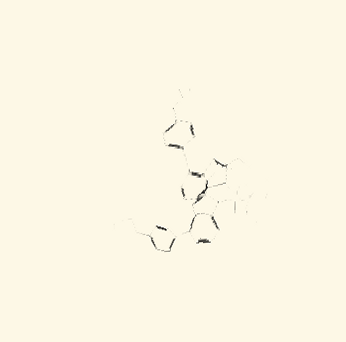 CCCc1ccc(-c2cccc3c2C=C(CC)[CH]3[Zr]([Cl])([Cl])([CH]2C(CC)=Cc3c(-c4ccc(CCC)cc4)cccc32)[SiH](C)C)cc1